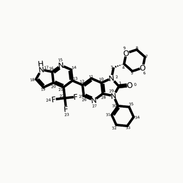 O=c1n(C[C@H]2COCCO2)c2cc(-c3cnc4[nH]ccc4c3C(F)(F)F)cnc2n1C1=CCCCC1